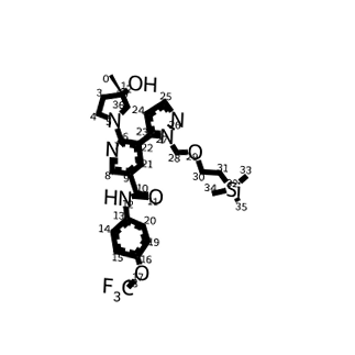 C[C@]1(O)CCN(c2ncc(C(=O)Nc3ccc(OC(F)(F)F)cc3)cc2-c2ccnn2COCC[Si](C)(C)C)C1